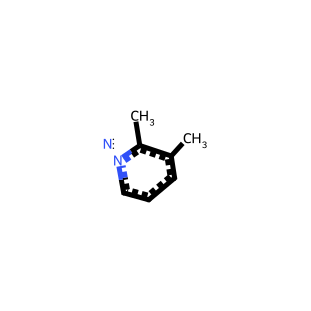 Cc1cccnc1C.[N]